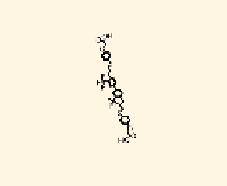 O=C(O)COc1ccc(SCCCc2ccc(-c3ccc(CCCSc4ccc(OCC(=O)O)cc4)c(C(F)(F)F)c3)cc2C(F)(F)F)cc1